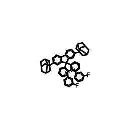 Fc1cccc(Oc2ccccc2C2(c3ccccc3Oc3cccc(F)c3)c3cc(C45CC6CC(CC(C6)C4)C5)ccc3-c3ccc(C45CC6CC(CC(C6)C4)C5)cc32)c1